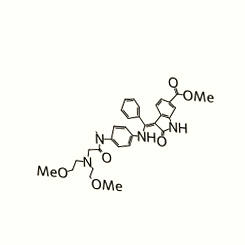 COCCN(CCOC)CC(=O)N(C)c1ccc(N/C(=C2\C(=O)Nc3cc(C(=O)OC)ccc32)c2ccccc2)cc1